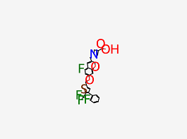 O=C(O)C1CN(CC2=Cc3c(F)cc(OCc4cc(-c5ccccc5)c(C(F)(F)F)s4)cc3OC2)C1